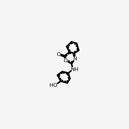 O=c1oc(Nc2ccc(O)cc2)nc2ccccc12